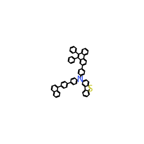 c1ccc(-c2c(-c3ccccc3)c3cc(-c4ccc(N(c5ccc(-c6ccc(-c7cccc8ccccc78)cc6)cc5)c5ccc6sc7ccccc7c6c5)cc4)ccc3c3ccccc23)cc1